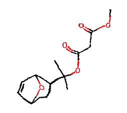 COC(=O)CC(=O)OC(C)(C)C1CC2C=CC1O2